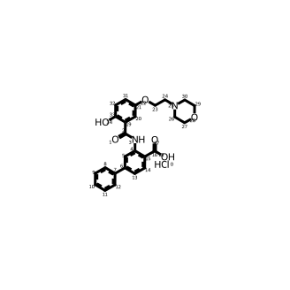 Cl.O=C(Nc1cc(-c2ccccc2)ccc1C(=O)O)c1cc(OCCN2CCOCC2)ccc1O